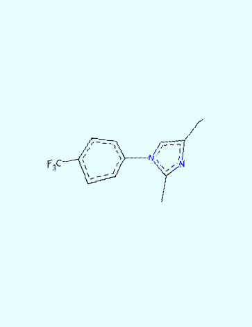 Cc1cn(-c2ccc(C(F)(F)F)cc2)c(C)n1